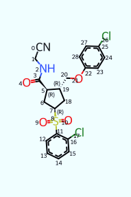 N#CCNC(=O)[C@@H]1C[C@H](S(=O)(=O)c2ccccc2Cl)C[C@H]1COc1ccc(Cl)cc1